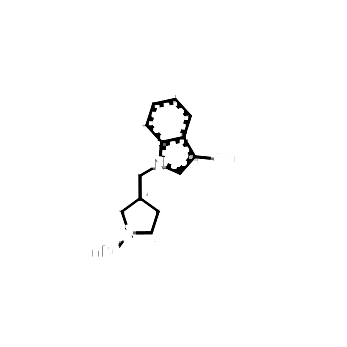 CCCCN1CCC(Cn2cc(C(=O)O)c3ccccc32)C1